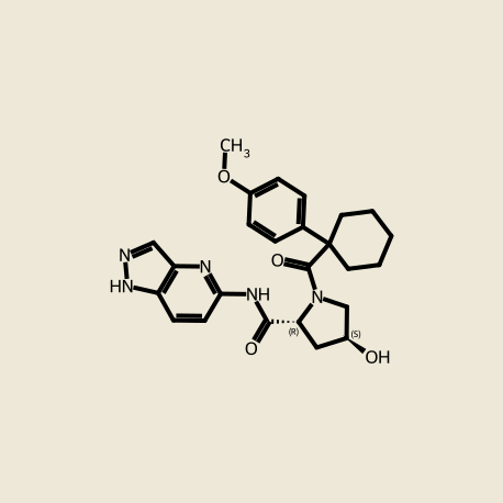 COc1ccc(C2(C(=O)N3C[C@@H](O)C[C@@H]3C(=O)Nc3ccc4[nH]ncc4n3)CCCCC2)cc1